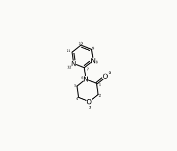 O=C1COCCN1c1ncccn1